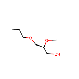 CCCOC[C@H](CO)OC